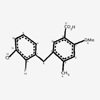 COc1cc(C)c(Cc2cccc(Cl)c2F)cc1C(=O)O